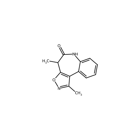 Cc1noc2c1-c1ccccc1NC(=O)C2C